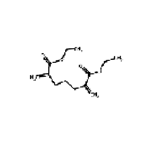 C=C(CCCC(=C)C(=O)OCC)C(=O)OCC